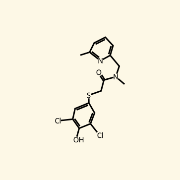 Cc1cccc(CN(C)C(=O)CSc2cc(Cl)c(O)c(Cl)c2)n1